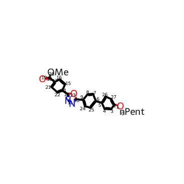 CCCCCOc1ccc(-c2ccc(-c3nnc(-c4ccc(C(=O)OC)cc4)o3)cc2)cc1